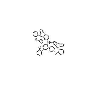 c1ccc2c(c1)Sc1ccccc1C21c2ccccc2-c2ccc(N(c3ccc4c(c3)C3(c5ccccc5Sc5ccccc53)c3ccccc3-4)c3ccc4c(c3)oc3ccccc34)cc21